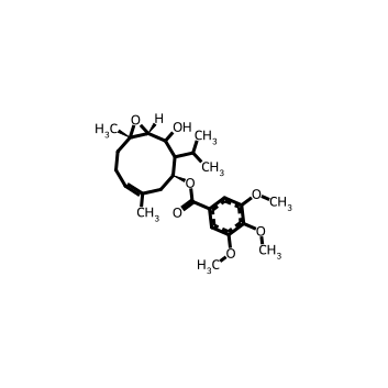 COc1cc(C(=O)O[C@H]2CC(C)=CCC[C@]3(C)O[C@@H]3C(O)C2C(C)C)cc(OC)c1OC